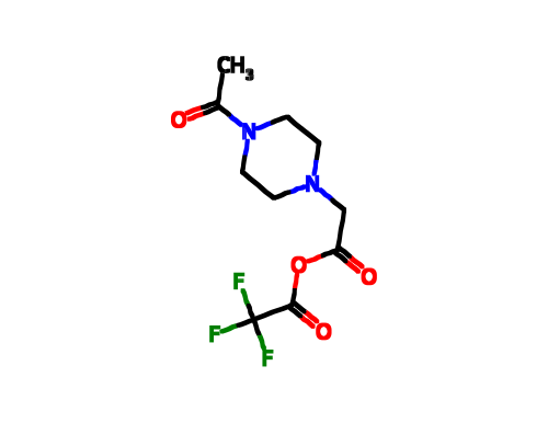 CC(=O)N1CCN(CC(=O)OC(=O)C(F)(F)F)CC1